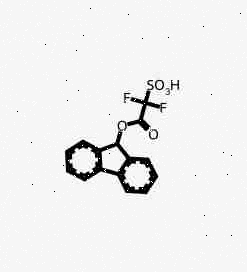 O=C(OC1c2ccccc2-c2ccccc21)C(F)(F)S(=O)(=O)O